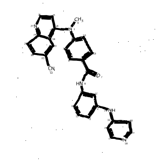 CN(c1ccc(C(=O)Nc2cccc(Nc3ccncc3)c2)cc1)c1ccnc2ccc(C#N)cc12